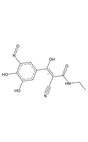 CCNC(=O)/C(C#N)=C(\O)c1cc(O)c(O)c(N=O)c1